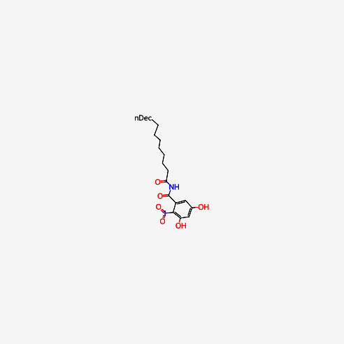 CCCCCCCCCCCCCCCCCC(=O)NC(=O)c1cc(O)cc(O)c1I(=O)=O